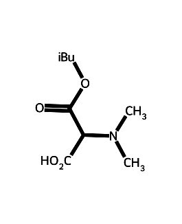 CCC(C)OC(=O)C(C(=O)O)N(C)C